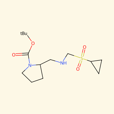 CC(C)(C)OC(=O)N1CCCC1CNCS(=O)(=O)C1CC1